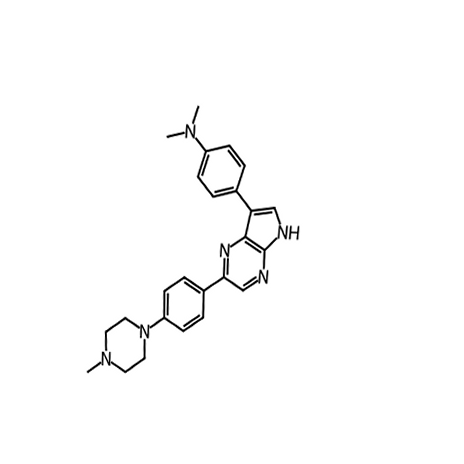 CN1CCN(c2ccc(-c3cnc4[nH]cc(-c5ccc(N(C)C)cc5)c4n3)cc2)CC1